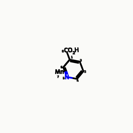 O=C(O)c1cccnc1.[Mn]